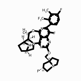 Cc1c(F)ccc(-c2nc3c4c(nc(OC[C@@]56CCCN5C[C@H](F)C6)nc4c2F)N2C[C@H]4CC[C@H](N4)[C@H]2[C@H](C)O3)c1C(F)(F)F